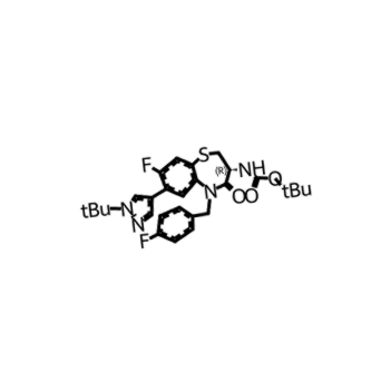 CC(C)(C)OC(=O)N[C@H]1CSc2cc(F)c(-c3cnn(C(C)(C)C)c3)cc2N(Cc2ccc(F)cc2)C1=O